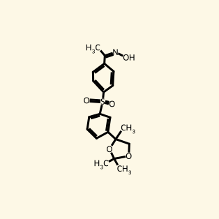 C/C(=N/O)c1ccc(S(=O)(=O)c2cccc(C3(C)COC(C)(C)O3)c2)cc1